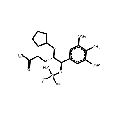 COc1cc([C@@H](O[Si](C)(C)C(C)(C)C)[C@H](CCC(N)=O)OC2CCCC2)cc(OC)c1C